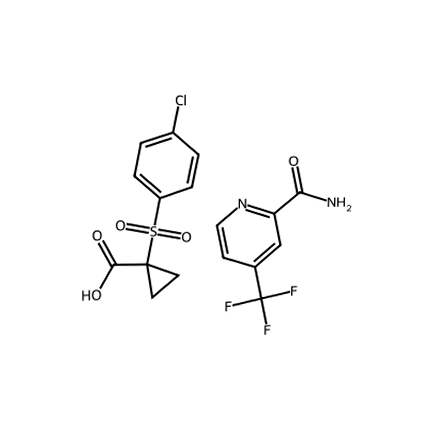 NC(=O)c1cc(C(F)(F)F)ccn1.O=C(O)C1(S(=O)(=O)c2ccc(Cl)cc2)CC1